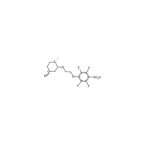 CC(C)[C@H]1CC[C@H](C)C(OCCOc2c(F)c(F)c(S(=O)(=O)O)c(F)c2F)C1